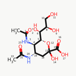 CC(=O)N[C@H]1[C@H]([C@H](O)[C@H](O)CO)OC(O)(C(=O)O)C[C@@H]1NC(C)=O